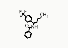 CCCC=C(NC(=O)c1ccccc1)c1ccc(C(F)(F)F)cc1